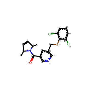 CC1C=CC(C)N1C(=O)c1cncc(CSc2c(Cl)cccc2Cl)c1